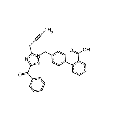 CC#CCc1nc(C(=O)c2ccccc2)nn1Cc1ccc(-c2ccccc2C(=O)O)cc1